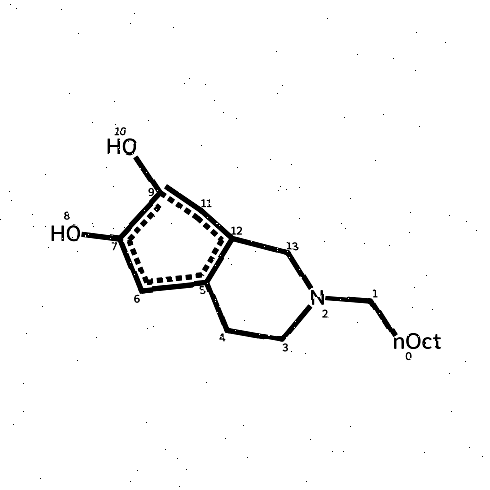 CCCCCCCCCN1CCc2cc(O)c(O)cc2C1